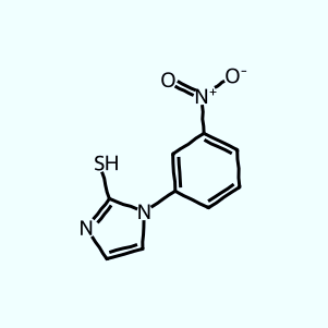 O=[N+]([O-])c1cccc(-n2ccnc2S)c1